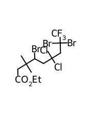 CCOC(=O)CC(C)(C)C(Br)CC(Cl)(Cl)CC(Br)(Br)C(F)(F)F